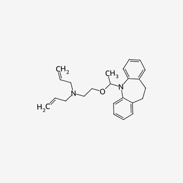 C=CCN(CC=C)CCOC(C)N1c2ccccc2CCc2ccccc21